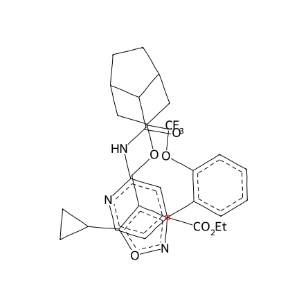 CCOC(=O)c1ccnc(NC(=O)C2C3CCC2CC(OCc2c(-c4ccccc4OC(F)(F)F)noc2C2CC2)C3)c1